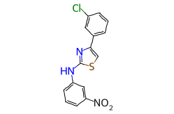 O=[N+]([O-])c1cccc(Nc2nc(-c3cccc(Cl)c3)cs2)c1